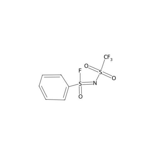 O=S(=O)(N=S(=O)(F)c1ccccc1)C(F)(F)F